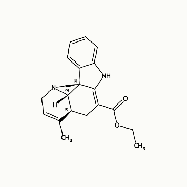 CCOC(=O)C1=C2Nc3ccccc3[C@]23CCN2CC=C[C@@](CC)(C1)[C@H]23